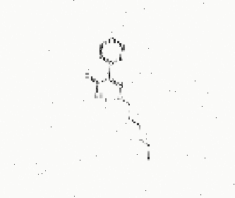 CCCCCCON=C(C(N)=O)c1ccccc1